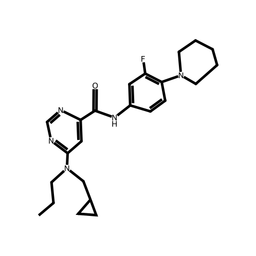 CCCN(CC1CC1)c1cc(C(=O)Nc2ccc(N3CCCCC3)c(F)c2)ncn1